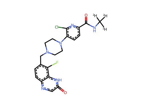 [2H]C([2H])([2H])NC(=O)c1ccc(N2CCN(Cc3ccc4ncc(=O)[nH]c4c3F)CC2)c(Cl)n1